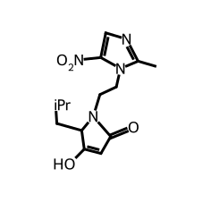 Cc1ncc([N+](=O)[O-])n1CCN1C(=O)C=C(O)C1CC(C)C